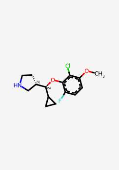 COc1ccc(F)c(O[C@@H](C2CC2)[C@H]2CCNC2)c1Cl